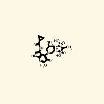 CC(S(=O)(=O)O)S(=O)(=O)O.NC1CCCN(c2c(Br)cnc3[nH]cc(NC(=O)C4CC4)c23)C1.O